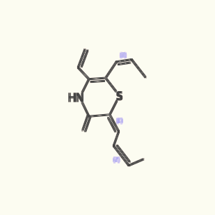 C=CC1=C(/C=C\C)S/C(=C/C=C\C)C(=C)N1